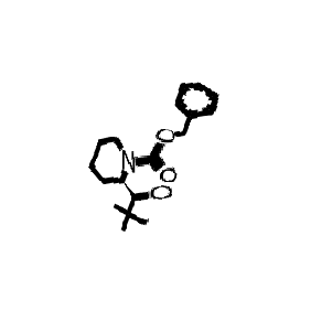 CC(C)(C)C(=O)[C@H]1CCCCN1C(=O)OCc1ccccc1